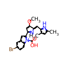 COC1=CC(c2cc3cc(Br)ccc3n2C(=O)O)=NC1=Cc1[nH]c(C)cc1C